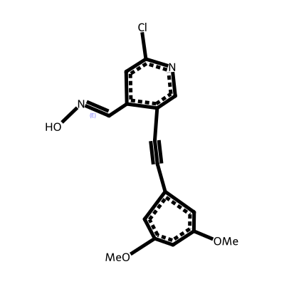 COc1cc(C#Cc2cnc(Cl)cc2/C=N/O)cc(OC)c1